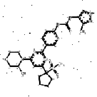 Cc1n[nH]cc1NC(=O)Nc1ccc(-c2nc(N3CCOC[C@@H]3C)cc(C3(S(C)(=O)=O)CCCC3)n2)cn1